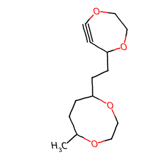 CC1CCC(CCC2C#COCCO2)OCCO1